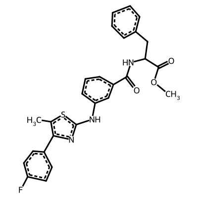 COC(=O)C(Cc1ccccc1)NC(=O)c1cccc(Nc2nc(-c3ccc(F)cc3)c(C)s2)c1